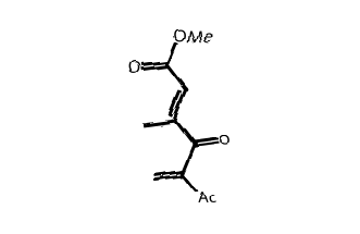 C=C(C(C)=O)C(=O)/C(C)=C/C(=O)OC